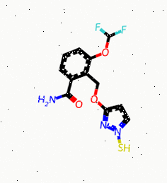 NC(=O)c1cccc(OC(F)F)c1COc1ccn(S)n1